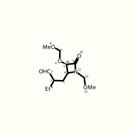 CCC(C=O)CC1[C@@H](OCOC)C(=O)N1COC